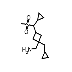 CS(=O)(=O)C(C1CC1)C1CC(CN)(CC2CC2)C1